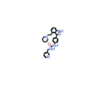 O=C(NCc1cccnc1)Nc1ccc(-c2n[nH]c3cccc(CCN4CCCCC4)c23)cc1